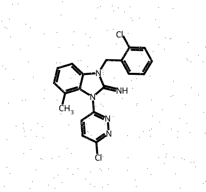 Cc1cccc2c1n(-c1ccc(Cl)nn1)c(=N)n2Cc1ccccc1Cl